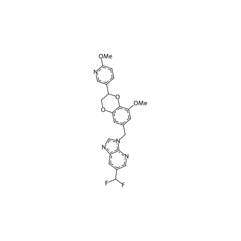 COc1ccc(C2COc3cc(Cn4cnc5cc(C(F)F)cnc54)cc(OC)c3O2)cn1